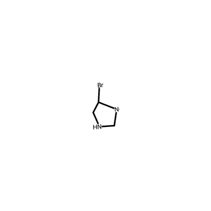 BrC1CNC[N]1